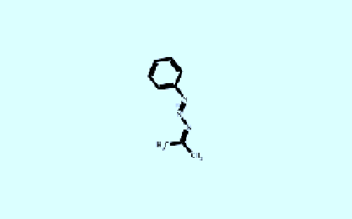 CC(C)=N/N=N/c1ccccc1